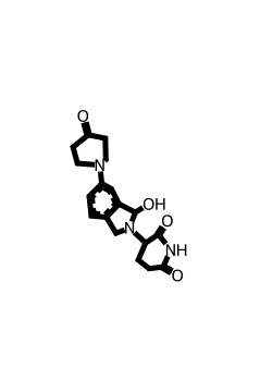 O=C1CCN(c2ccc3c(c2)C(O)N(C2CCC(=O)NC2=O)C3)CC1